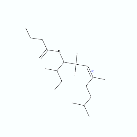 C=C(CCC)SC(C(C)CC)C(C)(C)/C=C(/C)CCC(C)C